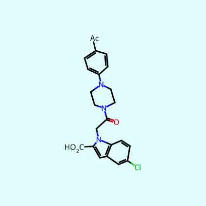 CC(=O)c1ccc(N2CCN(C(=O)Cn3c(C(=O)O)cc4cc(Cl)ccc43)CC2)cc1